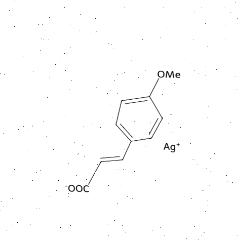 COc1ccc(C=CC(=O)[O-])cc1.[Ag+]